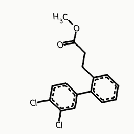 COC(=O)CCc1ccccc1-c1ccc(Cl)c(Cl)c1